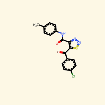 Cc1ccc(NC(=O)c2nnsc2C(=O)c2ccc(Cl)cc2)cc1